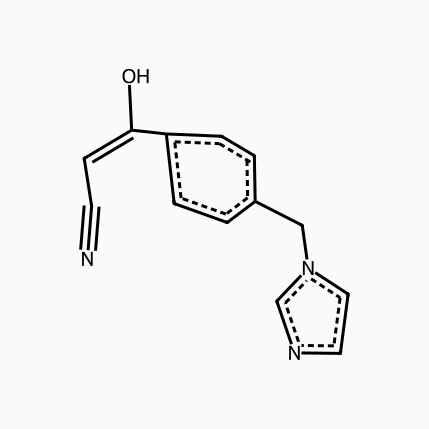 N#C/C=C(/O)c1ccc(Cn2ccnc2)cc1